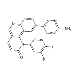 Nc1ccc(-c2ccc3ncc4ccc(=O)n(-c5ccc(F)c(F)c5)c4c3c2)cn1